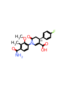 COc1c(N2C=C(C(=O)O)[C@H](c3ccc(F)cc3)CC2=O)ccc(C(N)=O)c1C